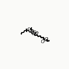 CCCCC(C)(C)C(CCCN(CCCCCCC(=O)OCC)S(C)(=O)=O)OC(C)=O